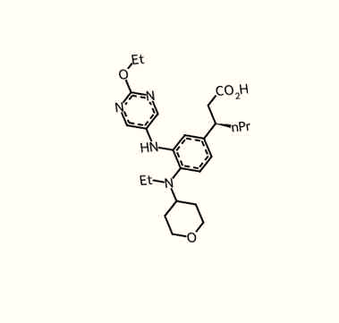 CCC[C@H](CC(=O)O)c1ccc(N(CC)C2CCOCC2)c(Nc2cnc(OCC)nc2)c1